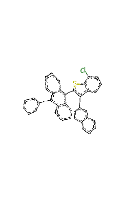 Clc1cccc2c(-c3ccc4ccccc4c3)c(-c3c4ccccc4c(-c4ccccc4)c4ccccc34)sc12